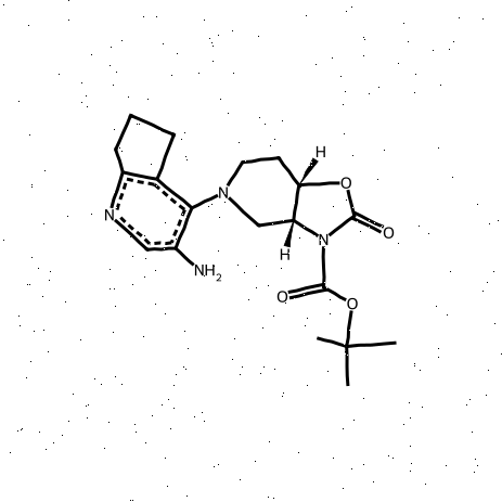 CC(C)(C)OC(=O)N1C(=O)O[C@H]2CCN(c3c(N)cnc4c3CCC4)C[C@H]21